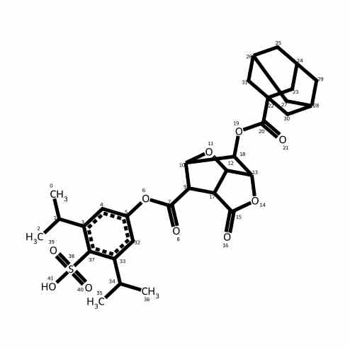 CC(C)c1cc(OC(=O)C2C3OC4C(OC(=O)C42)C3OC(=O)C23CC4CC(CC(C4)C2)C3)cc(C(C)C)c1S(=O)(=O)O